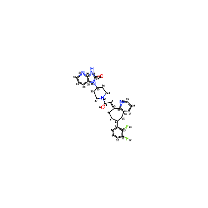 O=C(C=C1CCC(c2cccc(F)c2F)Cc2cccnc21)N1CCC(n2c(=O)[nH]c3ncccc32)CC1